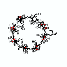 CCN(CC)CC.O=P(O)(O)OC[C@H]1O[C@@H]2O[C@H]3[C@H](O)[C@@H](O)[C@@H](O[C@H]4[C@H](O)[C@@H](O)[C@@H](O[C@H]5[C@H](O)[C@@H](O)[C@@H](O[C@H]6[C@H](O)[C@@H](O)[C@@H](O[C@H]7[C@H](O)[C@@H](O)[C@@H](O[C@H]8[C@H](O)[C@@H](O)[C@@H](O[C@H]9[C@H](O)[C@@H](O)[C@@H](O[C@H]1[C@H](O)[C@H]2O)O[C@@H]9CO)O[C@@H]8CO)O[C@@H]7CO)O[C@@H]6CO)O[C@@H]5CO)O[C@@H]4CO)O[C@@H]3CO